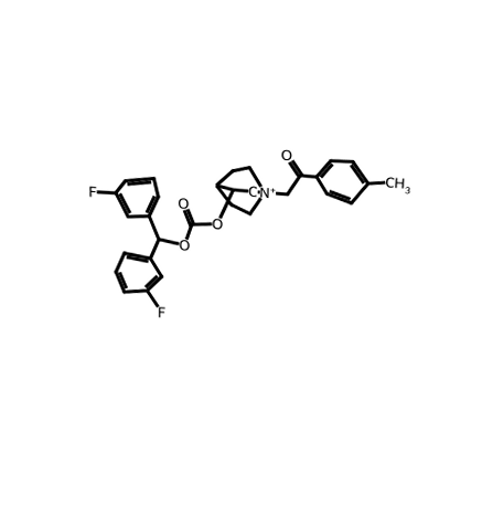 Cc1ccc(C(=O)C[N+]23CCC(CC2)C(OC(=O)OC(c2cccc(F)c2)c2cccc(F)c2)C3)cc1